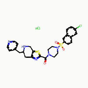 Cl.O=C(c1nc2c(s1)CNC(Cc1ccncc1)C2)N1CCN(S(=O)(=O)c2ccc3cc(Cl)ccc3c2)CC1